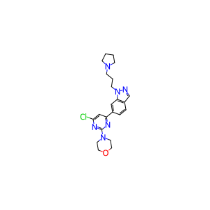 Clc1cc(-c2ccc3cnn(CCCN4CCCC4)c3c2)nc(N2CCOCC2)n1